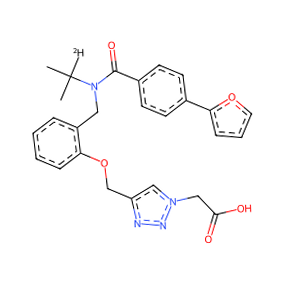 [2H]C(C)(C)N(Cc1ccccc1OCc1cn(CC(=O)O)nn1)C(=O)c1ccc(-c2ccco2)cc1